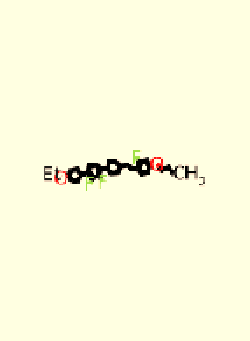 C=CCCOc1ccc(CCC2CCC(c3ccc(C4CCC(OCC)CC4)c(F)c3F)CC2)c(F)c1